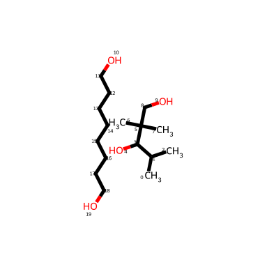 CC(C)C(O)C(C)(C)CO.OCCCCCCCCO